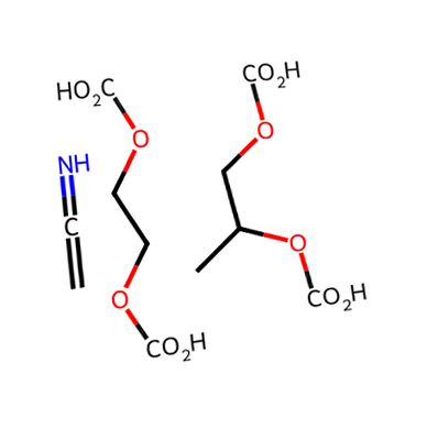 C=C=N.CC(COC(=O)O)OC(=O)O.O=C(O)OCCOC(=O)O